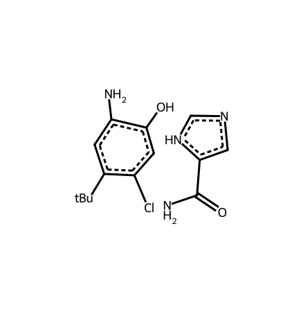 CC(C)(C)c1cc(N)c(O)cc1Cl.NC(=O)c1cnc[nH]1